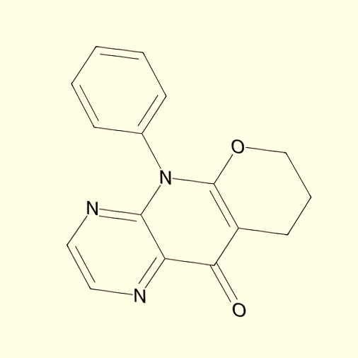 O=c1c2c(n(-c3ccccc3)c3nccnc13)OCCC2